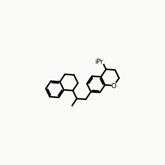 CC(C)C1CCOc2cc(CC(C)C3CCCc4ccccc43)ccc21